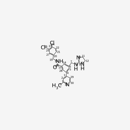 Cc1cc(-c2cc(CNC3=NCCN3)cc(C(=O)NCc3ccc(Cl)c(Cl)c3)c2)ccn1